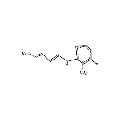 CO/N=C/C=N/Nc1cccc(F)c1C(=O)O